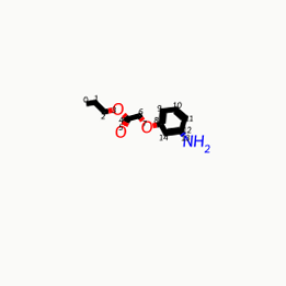 CCCOC(=O)COc1cccc(N)c1